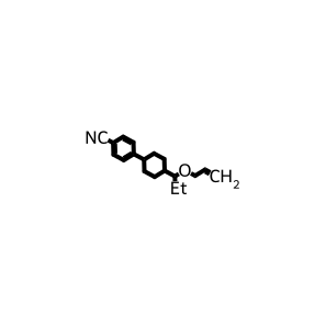 C=CCOC(CC)C1CCC(c2ccc(C#N)cc2)CC1